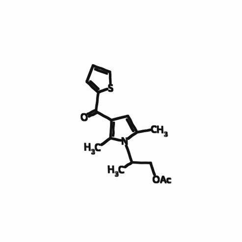 CC(=O)OCC(C)n1c(C)cc(C(=O)c2cccs2)c1C